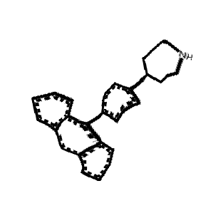 c1ccc2c(-c3ccc(C4CCNCC4)cc3)c3ccccc3cc2c1